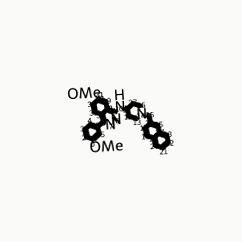 COc1cccc(-c2nnc(NC3CCN(Cc4ccc5ccccc5c4)CC3)c3cc(OC)ccc23)c1